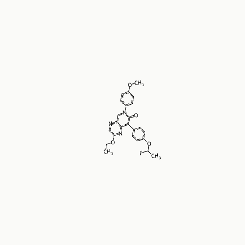 CCOc1cnc2cn(-c3ccc(OC)cc3)c(=O)c(-c3ccc(OC(C)F)cc3)c2n1